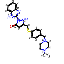 CN1CCN(Cc2ccc(SCc3cc(=O)n(-c4nc5ccccc5[nH]4)[nH]3)cc2)CC1